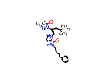 CC(=O)NC(CC(C)C)CN1CCC[C@H]1C(=O)NCCCCc1ccccc1